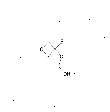 CCC1(OCO)COC1